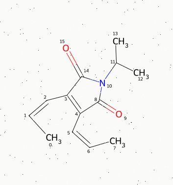 C/C=C\C1=C(/C=C\C)C(=O)N(C(C)C)C1=O